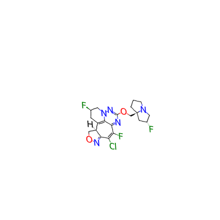 FC1=C(Cl)C2=NOC[C@H]2C2=C3C1=NC(OC[C@@]14CCCN1C[C@H](F)C4)=NN3C[C@H](F)C2